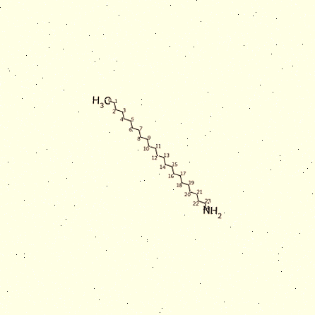 CCCCCCCCCCCCCCCCCCCCCCC[CH]N